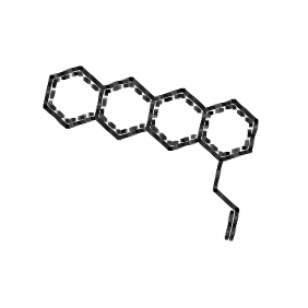 C=CCc1cccc2cc3cc4ccccc4cc3cc12